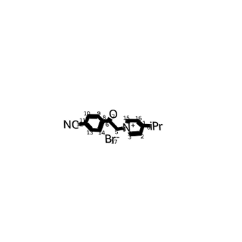 CC(C)c1cc[n+](CC(=O)c2ccc(C#N)cc2)cc1.[Br-]